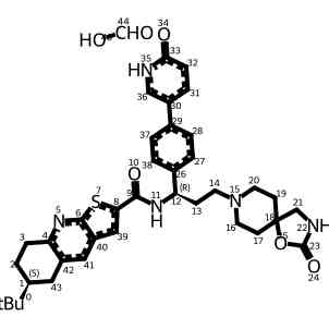 CC(C)(C)[C@H]1CCc2nc3sc(C(=O)N[C@H](CCN4CCC5(CC4)CNC(=O)O5)c4ccc(-c5ccc(=O)[nH]c5)cc4)cc3cc2C1.O=CO